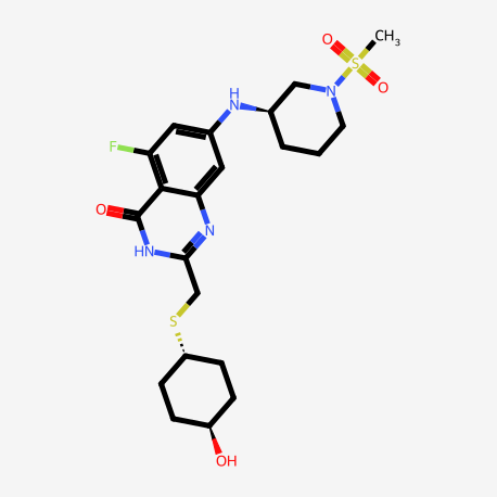 CS(=O)(=O)N1CCC[C@@H](Nc2cc(F)c3c(=O)[nH]c(CS[C@H]4CC[C@H](O)CC4)nc3c2)C1